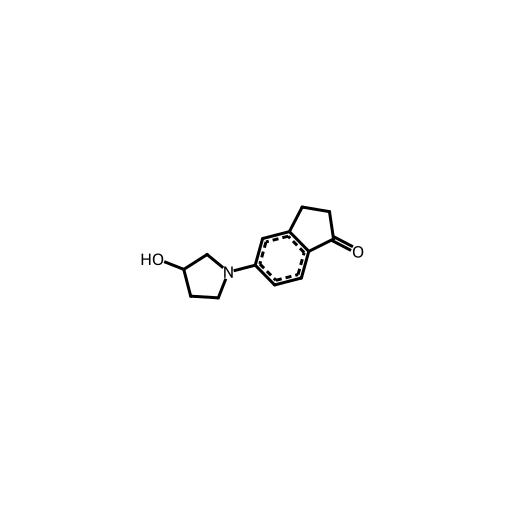 O=C1CCc2cc(N3CCC(O)C3)ccc21